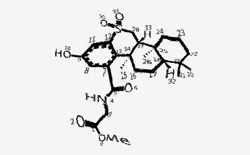 COC(=O)CNC(=O)c1cc(O)cc2c1[C@]1(C)CC[C@H]3C(C)(C)CCC[C@]3(C)[C@H]1CS2(=O)=O